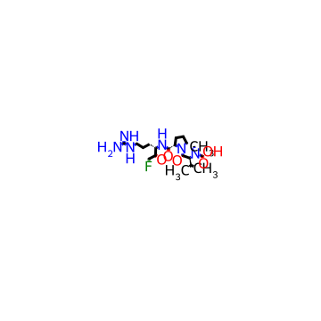 CC(C)[C@@H](C(=O)N1CCC[C@H]1C(=O)N[C@@H](CCCNC(=N)N)C(=O)CF)N(C)C(=O)O